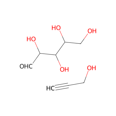 C#CCO.O=CC(O)C(O)C(O)CO